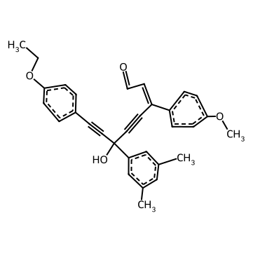 CCOc1ccc(C#CC(O)(C#C/C(=C\C=O)c2ccc(OC)cc2)c2cc(C)cc(C)c2)cc1